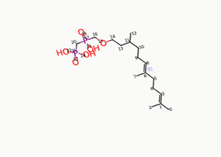 CC(C)=CCC/C(C)=C/CCC(C)CCOCP(=O)(O)CP(=O)(O)O